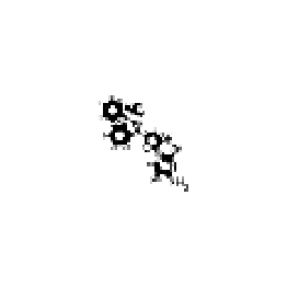 CC(C)(C)[Si](OC[C@@H]1C[C@@H](F)[C@H](n2cc(F)c(N)nc2=O)O1)(c1ccccc1)c1ccccc1